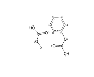 COC(=O)O.O=C(O)Oc1ccccc1